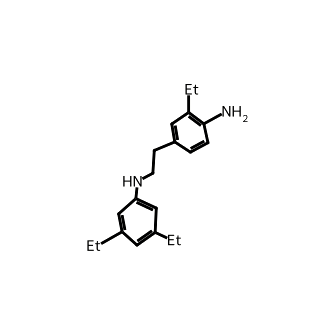 CCc1cc(CC)cc(NCCc2ccc(N)c(CC)c2)c1